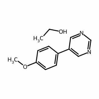 CCO.COc1ccc(-c2cncnc2)cc1